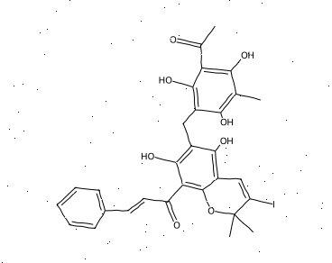 CC(=O)c1c(O)c(C)c(O)c(Cc2c(O)c3c(c(C(=O)C=Cc4ccccc4)c2O)OC(C)(C)C(I)=C3)c1O